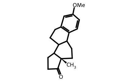 COc1ccc2c(c1)CCC1C2CC[C@]2(C)C(=O)CCC12